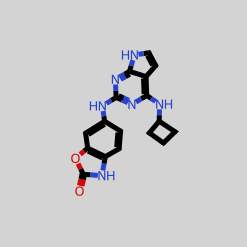 O=c1[nH]c2ccc(Nc3nc(NC4CCC4)c4cc[nH]c4n3)cc2o1